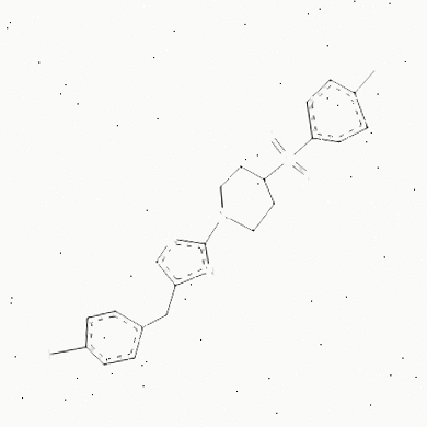 O=S(=O)(c1ccc(Cl)cc1)C1CCN(c2nc(Cc3ccc(Cl)cc3)cs2)CC1